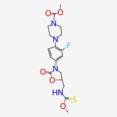 COC(=O)N1CCN(c2ccc(N3CC(CNC(=S)OC)OC3=O)cc2F)CC1